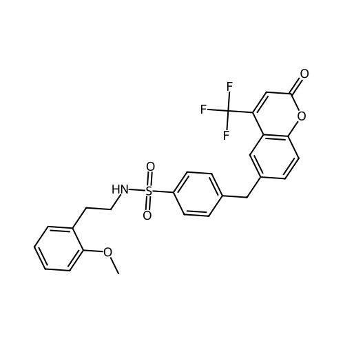 COc1ccccc1CCNS(=O)(=O)c1ccc(Cc2ccc3oc(=O)cc(C(F)(F)F)c3c2)cc1